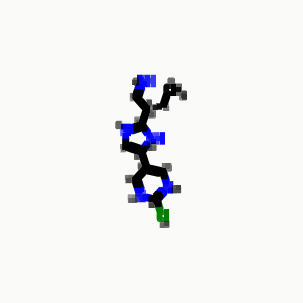 CC[C@@H](C=N)c1ncc(-c2cnc(Cl)nc2)[nH]1